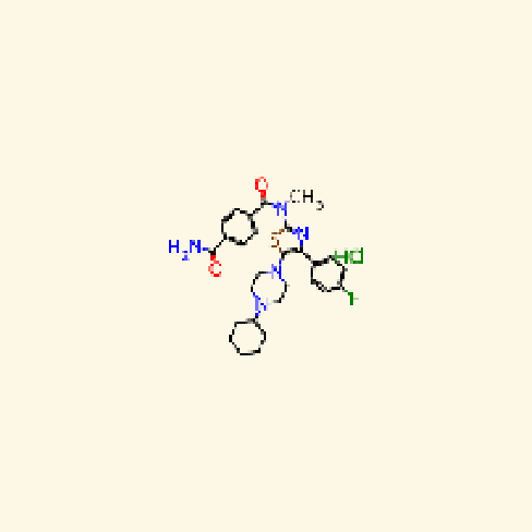 CN(C(=O)c1ccc(C(N)=O)cc1)c1nc(-c2ccc(F)cc2)c(N2CCN(C3CCCCC3)CC2)s1.Cl